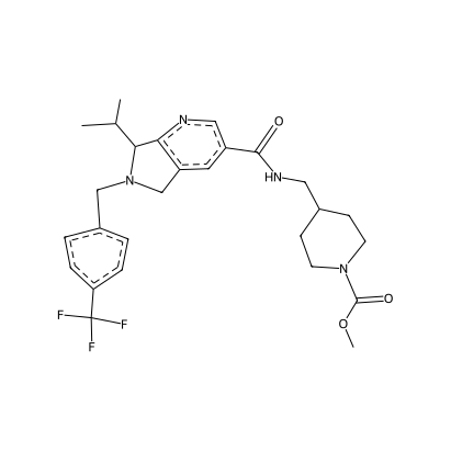 COC(=O)N1CCC(CNC(=O)c2cnc3c(c2)CN(Cc2ccc(C(F)(F)F)cc2)C3C(C)C)CC1